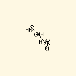 O=C(CCCc1c[nH]c2ccccc12)NCCCCCCNc1c2c(nc3cc(Cl)ccc13)CCCC2